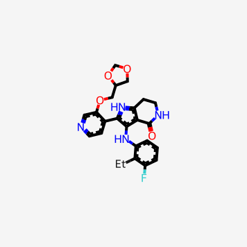 CCc1c(F)cccc1Nc1c(-c2ccncc2OCC2COCO2)[nH]c2c1C(=O)NCC2